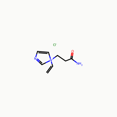 C=C[N+]1(CCC(N)=O)C=CN=C1.[Cl-]